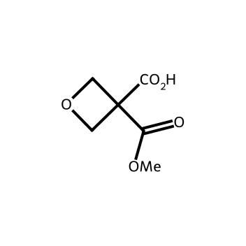 COC(=O)C1(C(=O)O)COC1